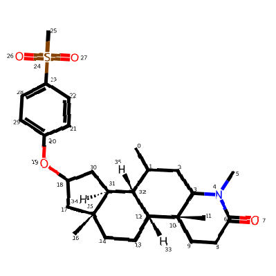 CC1CC2N(C)C(=O)CC[C@]2(C)[C@@H]2CC[C@]3(C)CC(Oc4ccc(S(C)(=O)=O)cc4)C[C@H]3[C@H]12